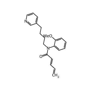 C=CC=CC(=O)N(CCCCc1cccnc1)c1ccccc1OC